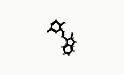 Cc1ccc(C)c(/C=N/C2c3ccccc3CC2C)c1